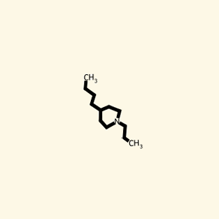 C[CH]CN1CCC(CCCC)CC1